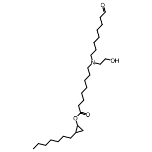 CCCCCCCC1CC1OC(=O)CCCCCCCN(CCO)CCCCCCCC=O